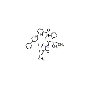 CCCNC(=O)/C(C)=C/C1=C(C(C)CC)c2ccccc2N(C(=O)c2cccc(N3CCC(c4ccccc4)CC3)n2)CC1